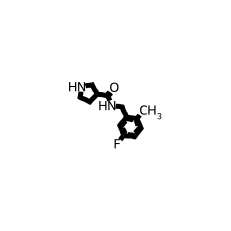 Cc1ccc(F)cc1CNC(=O)C1CCNC1